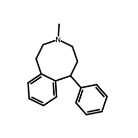 CN1CCc2ccccc2C(c2ccccc2)CC1